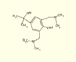 CCCC(C)(C)c1cc(CN(C)C)c(O)c(CN(C)C)c1